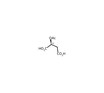 CC(=O)O[C@@H](CC(=O)O)C(=O)O